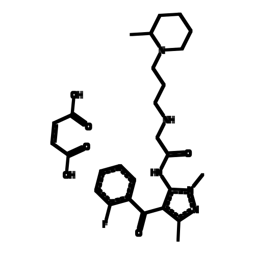 Cc1nn(C)c(NC(=O)CNCCCN2CCCCC2C)c1C(=O)c1ccccc1F.O=C(O)/C=C\C(=O)O